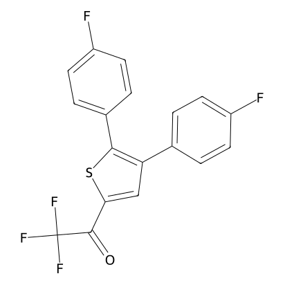 O=C(c1cc(-c2ccc(F)cc2)c(-c2ccc(F)cc2)s1)C(F)(F)F